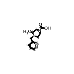 CC1CN(C(=O)O)CCN1Cc1cccnn1